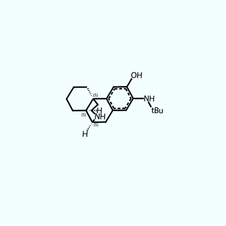 CC(C)(C)Nc1cc2c(cc1O)[C@]13CCCC[C@@H]1[C@H](C2)NCC3